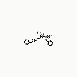 O=C1CC([S+]([O-])Cc2ccccc2)N1CCCOCc1ccccc1